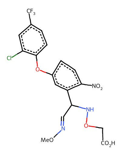 CON=CC(NOCC(=O)O)c1cc(Oc2ccc(C(F)(F)F)cc2Cl)ccc1[N+](=O)[O-]